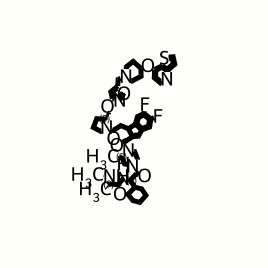 CN[C@@H](C)C(=O)N[C@H](C(=O)N1CCN(C(=O)C2=Cc3cc(F)c(F)cc3C2CC(=O)N2CCC[C@H]2COc2cc(CN3CCC(Oc4ccnc5ccsc45)CC3)on2)[C@@H](C)C1)C1CCCCC1